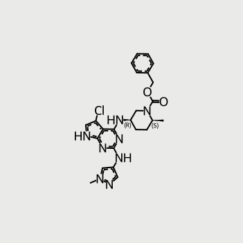 C[C@H]1CC[C@@H](Nc2nc(Nc3cnn(C)c3)nc3[nH]cc(Cl)c23)CN1C(=O)OCc1ccccc1